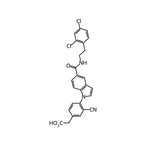 N#Cc1cc(CC(=O)O)ccc1-n1ccc2cc(C(=O)NCCc3ccc(Cl)cc3Cl)ccc21